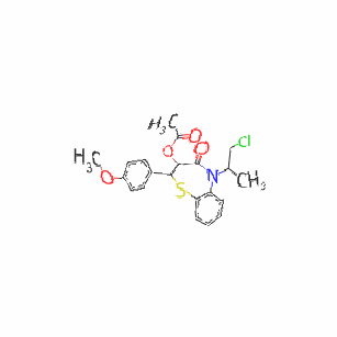 COc1ccc(C2Sc3ccccc3N(C(C)CCl)C(=O)C2OC(C)=O)cc1